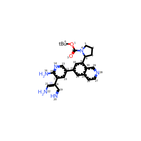 CC(C)(C)OC(=O)N1CCCC1c1cc(-c2cnc(N)c(/C(C=N)=C/N)c2)cc2ccncc12